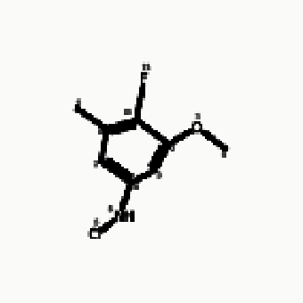 COc1cc(NCl)cc(C)c1F